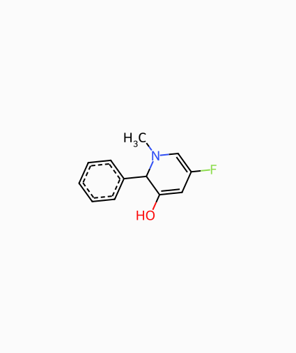 CN1C=C(F)C=C(O)C1c1ccccc1